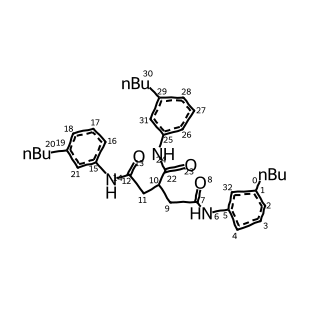 CCCCc1cccc(NC(=O)CC(CC(=O)Nc2cccc(CCCC)c2)C(=O)Nc2cccc(CCCC)c2)c1